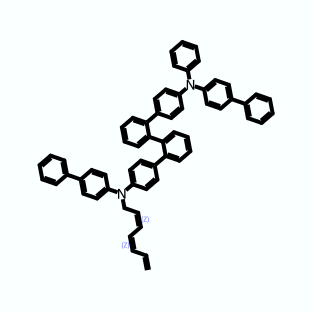 C=C/C=C\C=C/CN(c1ccc(-c2ccccc2)cc1)c1ccc(-c2ccccc2-c2ccccc2-c2ccc(N(c3ccccc3)c3ccc(-c4ccccc4)cc3)cc2)cc1